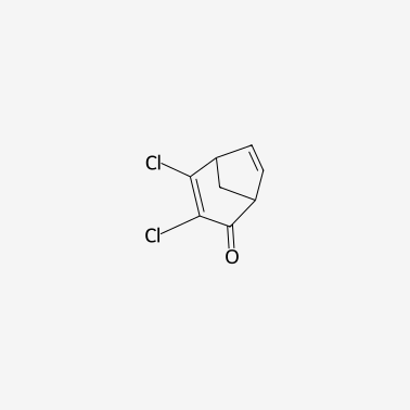 O=C1C(Cl)=C(Cl)C2C=CC1C2